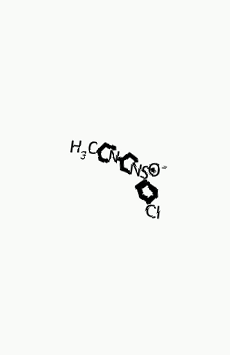 CC1CCN(C2CCN([S+]([O-])c3ccc(Cl)cc3)CC2)CC1